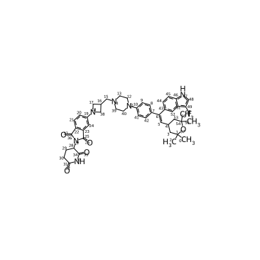 CC1(C)CC(C=C(c2ccc(N3CCN(CC4CN(c5ccc6c(c5)C(=O)N(C5CCC(=O)NC5=O)C6=O)C4)CC3)cc2)c2ccc3[nH]cc(F)c3c2)CC(C)(C)O1